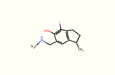 CNCc1cc2c(c(I)c1O)CCC2C